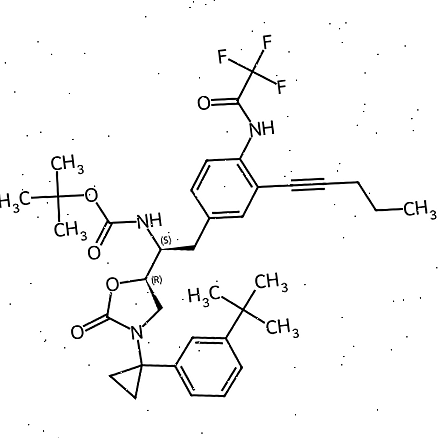 CCCC#Cc1cc(C[C@H](NC(=O)OC(C)(C)C)[C@H]2CN(C3(c4cccc(C(C)(C)C)c4)CC3)C(=O)O2)ccc1NC(=O)C(F)(F)F